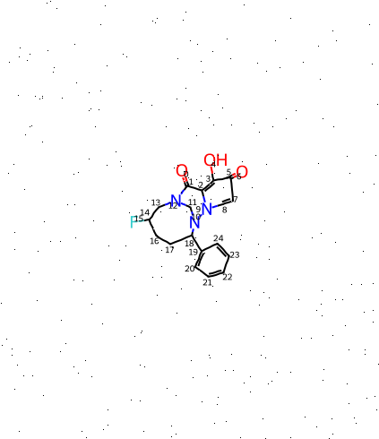 O=C1c2c(O)c(=O)ccn2N2CN1CC(F)CCC2c1ccccc1